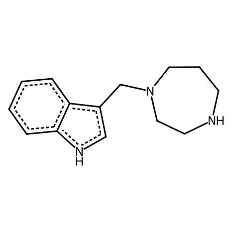 c1ccc2c(CN3CCCNCC3)c[nH]c2c1